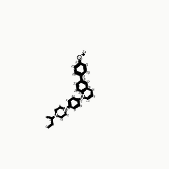 CCC(C)N1CCN(c2ccc(N3C=CCc4cc(-c5ccc(OC)cc5)ccc43)cc2)CC1